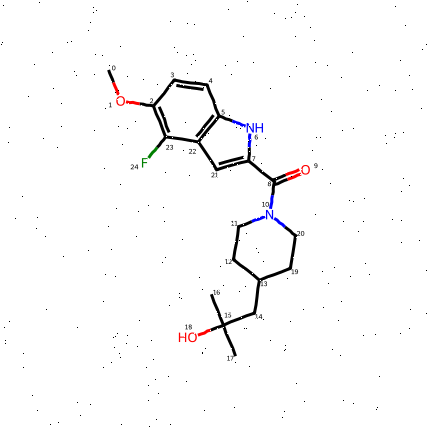 COc1ccc2[nH]c(C(=O)N3CCC(CC(C)(C)O)CC3)cc2c1F